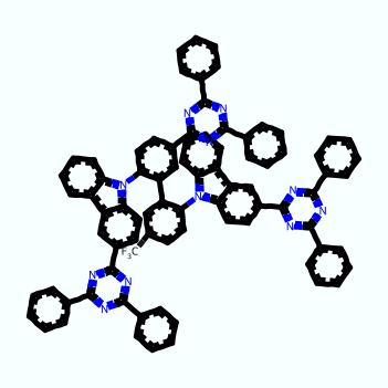 FC(F)(F)c1ccc(-n2c3ccccc3c3cc(-c4nc(-c5ccccc5)nc(-c5ccccc5)n4)ccc32)c(-c2cc(-c3nc(-c4ccccc4)nc(-c4ccccc4)n3)ccc2-n2c3ccccc3c3cc(-c4nc(-c5ccccc5)nc(-c5ccccc5)n4)ccc32)c1